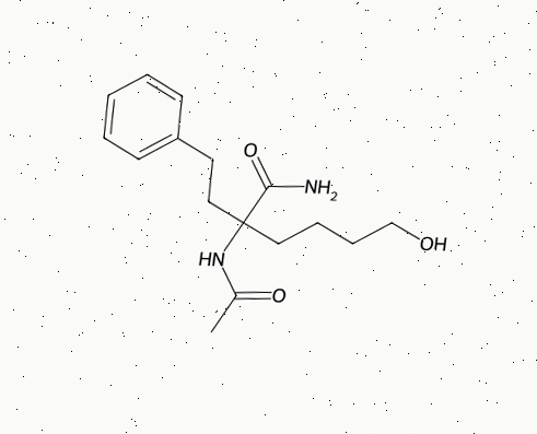 CC(=O)NC(CCCCO)(CCc1ccccc1)C(N)=O